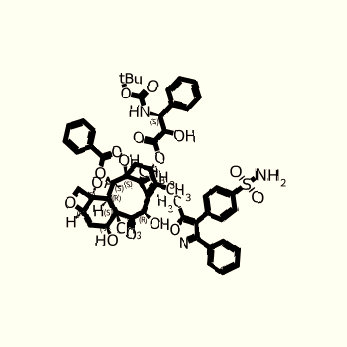 CC(=O)O[C@@]12CO[C@@H]1C[C@H](O)[C@@]1(C)C(=O)[C@H](O)C3=C(C)[C@@H](OC(=O)C(O)[C@@H](NC(=O)OC(C)(C)C)c4ccccc4)C[C@@](O)([C@@H](OC(=O)c4ccccc4)[C@H]21)C3(C)C.Cc1onc(-c2ccccc2)c1-c1ccc(S(N)(=O)=O)cc1